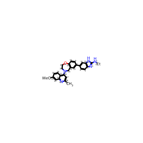 CCNc1nc2ccc(-c3ccc4c(c3)CN(c3cc(C)nc5cc(OC)ccc35)CCO4)cc2[nH]1